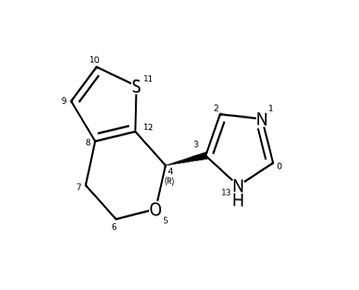 c1ncc([C@H]2OCCc3ccsc32)[nH]1